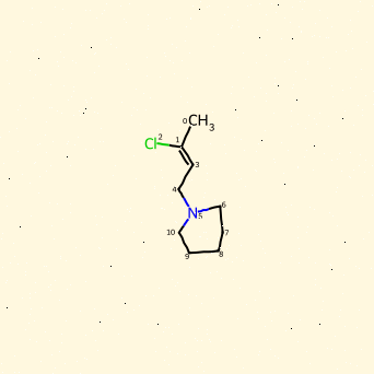 C/C(Cl)=C/CN1CCCCC1